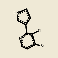 Clc1c(Br)ccnc1-c1[c][nH]cc1